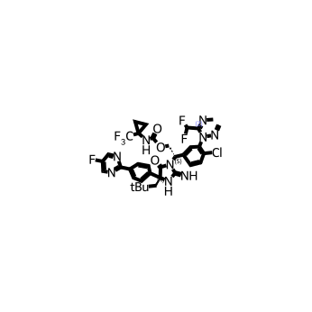 C=NN(/C(=N\C)C(F)F)c1cc([C@@H](COC(=O)NC2(C(F)(F)F)CC2)N2C(=N)N[C@](CC(C)(C)C)(c3ccc(-c4ncc(F)cn4)cc3)C2=O)ccc1Cl